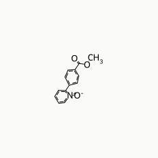 COC(=O)c1ccc(-c2cccc[n+]2[O-])cc1